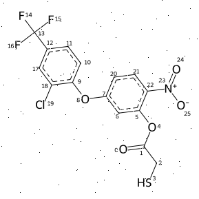 O=C(CS)Oc1cc(Oc2ccc(C(F)(F)F)cc2Cl)ccc1[N+](=O)[O-]